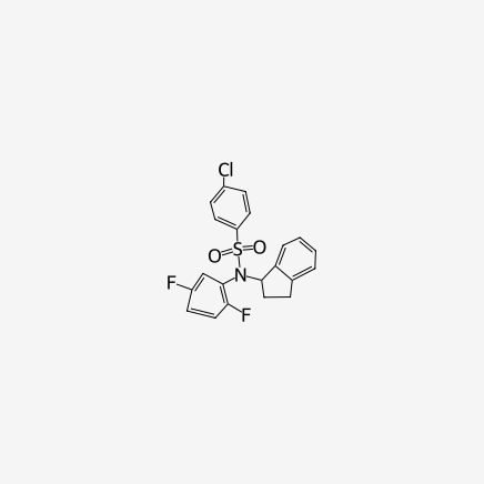 O=S(=O)(c1ccc(Cl)cc1)N(c1cc(F)ccc1F)C1CCc2ccccc21